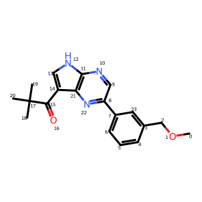 COCc1cccc(-c2cnc3[nH]cc(C(=O)C(C)(C)C)c3n2)c1